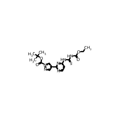 CCOC(=O)NC(=S)Nc1ccnc(-c2cnn(C(=O)OC(C)(C)C)c2)n1